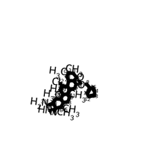 CC1(C)CC[C@]2(C(=O)OCc3ccccc3)CC[C@]3(C)C(=C(Cl)CC4[C@@]5(C)Cc6c(n[nH]c6N)C(C)(C)C5CC[C@]43C)C2C1